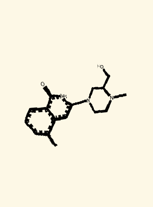 Cc1cccc2c(=O)[nH]c(N3CCN(C)C(CO)C3)cc12